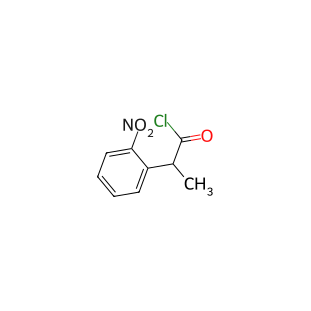 CC(C(=O)Cl)c1ccccc1[N+](=O)[O-]